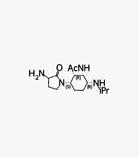 CC(=O)N[C@@H]1C[C@H](NC(C)C)CC[C@@H]1N1CCC(N)C1=O